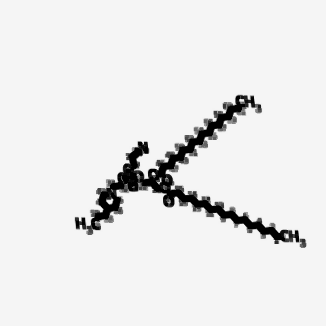 CCCCCCCCCCCCCCCCCC(=O)OCC(COP(=O)(OCCC#N)OCCN1CCC(CCC)CC1)OC(=O)CCCCCCCCCCCCCCCCC